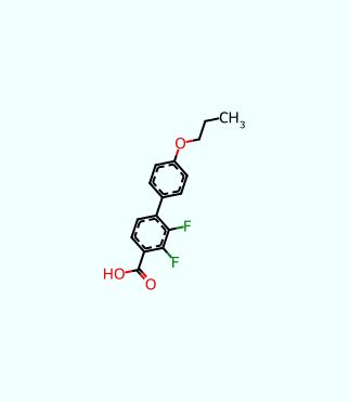 CCCOc1ccc(-c2ccc(C(=O)O)c(F)c2F)cc1